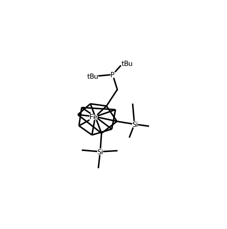 CC(C)(C)P(C[C]12[CH]3[CH]4[C]5([Si](C)(C)C)[C]1([Si](C)(C)C)[Fe]34251678[CH]2[CH]1[CH]6[CH]7[CH]28)C(C)(C)C